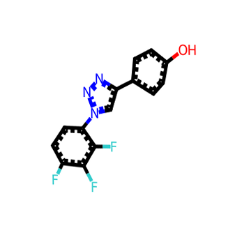 Oc1ccc(-c2cn(-c3ccc(F)c(F)c3F)nn2)cc1